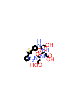 NC(=O)[C@H](CCC(=O)O)NC(=O)[C@H](CCC(=O)O)NC(=O)[C@@H](CC(=O)O)Nc1ccc(-c2cc(-c3ccccc3)cs2)cc1